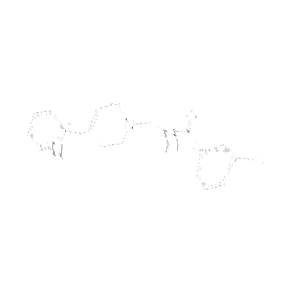 O=C(NCN1CC=C(c2ccccn2)CC1)c1cccc(F)c1